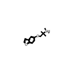 C[SiH](C)C(C)(C)COc1ccc2occc2c1